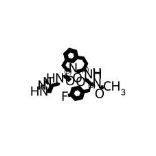 CC(=O)N[C@@H](Cc1ccc(F)cc1)C(=O)N[C@H]1CCc2cccc3c2N(C1=O)[C@H](C(=O)NCc1c[nH]nn1)C3